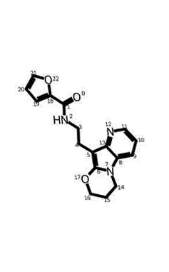 O=C(NCCc1c2n(c3cccnc13)CCCO2)c1ccco1